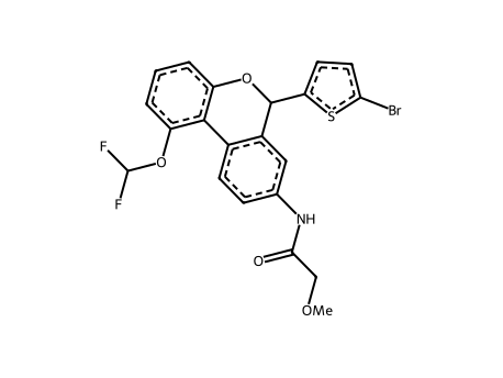 COCC(=O)Nc1ccc2c(c1)C(c1ccc(Br)s1)Oc1cccc(OC(F)F)c1-2